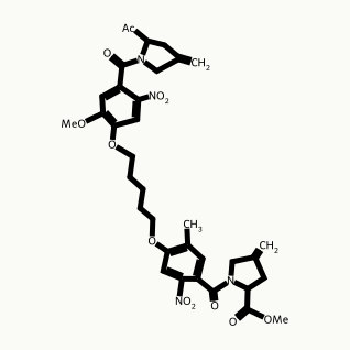 C=C1CC(C(C)=O)N(C(=O)c2cc(OC)c(OCCCCCOc3cc([N+](=O)[O-])c(C(=O)N4CC(=C)CC4C(=O)OC)cc3C)cc2[N+](=O)[O-])C1